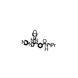 CC(C)CNC(=O)c1cccc(-c2nc(N3CCOCC3)nc3c2CCN3c2ccncc2)c1